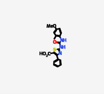 COc1ccc(NC(=O)Nc2nc(-c3ccccc3)c(C(=O)O)s2)c(C)c1